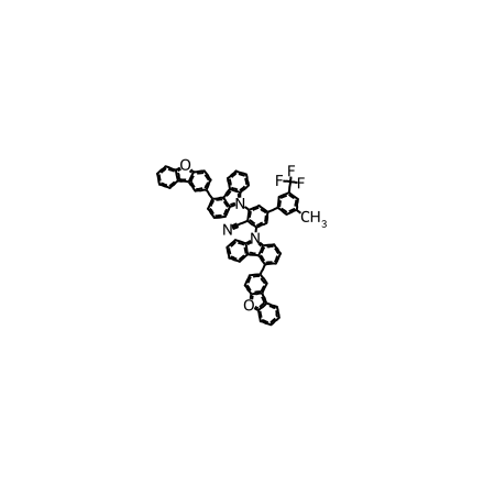 Cc1cc(-c2cc(-n3c4ccccc4c4c(-c5ccc6oc7ccccc7c6c5)cccc43)c(C#N)c(-n3c4ccccc4c4c(-c5ccc6oc7ccccc7c6c5)cccc43)c2)cc(C(F)(F)F)c1